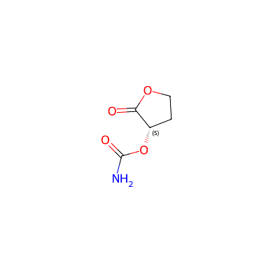 NC(=O)O[C@H]1CCOC1=O